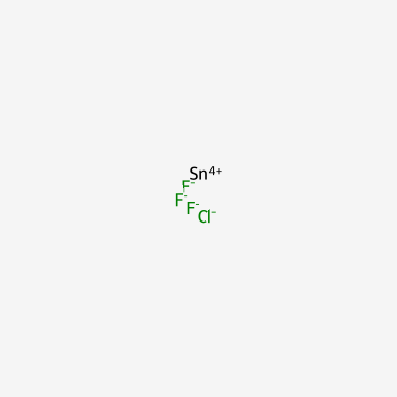 [Cl-].[F-].[F-].[F-].[Sn+4]